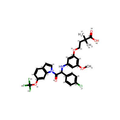 COc1cc(NC(C(=O)n2ccc3ccc(OC(F)(F)F)cc32)c2ccc(Cl)cc2)cc(OCCC(C)(C)C(=O)O)c1